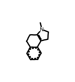 CN1CCC2=C1CCc1ccccc12